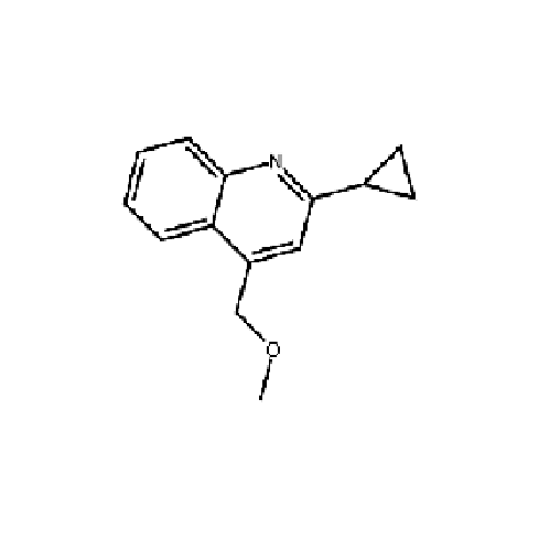 COCc1cc(C2CC2)nc2ccccc12